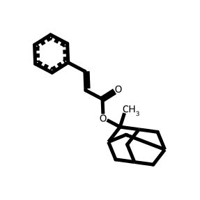 CC1(OC(=O)C=Cc2ccccc2)C2CC3CC(C2)CC1C3